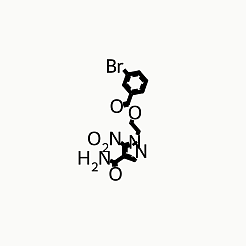 NC(=O)c1cnn(CCOC(=O)c2cccc(Br)c2)c1[N+](=O)[O-]